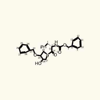 CC(C)C[C@H](NC(=O)OCc1ccccc1)C(=O)N1CC(O)C(OCc2ccccc2)C1